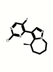 C[C@@H]1CCCCn2ncc(-c3nc(Cl)ncc3F)c21